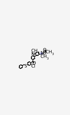 CCn1c2ccc(C(=O)c3ccc(SCc4ccccc4)cc3Cl)cc2c2cc(/C(C)=N/OC(C)=O)ccc21